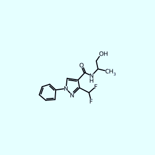 CC(CO)NC(=O)c1cn(-c2ccccc2)nc1C(F)F